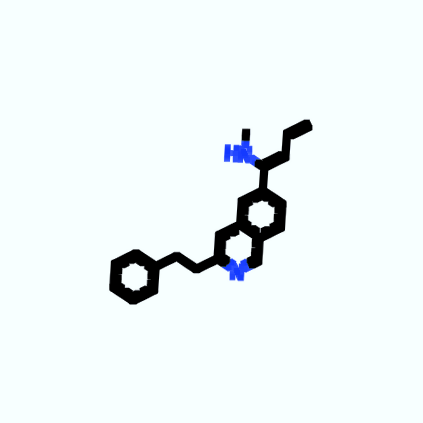 C=C/C=C(\NC)c1ccc2cnc(CCc3ccccc3)cc2c1